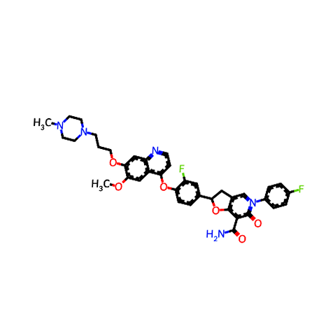 COc1cc2c(Oc3ccc(C4Cc5cn(-c6ccc(F)cc6)c(=O)c(C(N)=O)c5O4)cc3F)ccnc2cc1OCCCN1CCN(C)CC1